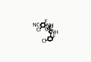 N#Cc1cc(F)c(NS(=O)(=O)c2c[nH]c(-c3cc(Cl)ccc3F)c2)cc1Cl